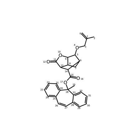 C=C(C)COC1C2CC3C1OC(=O)C3C2C(=O)OC1(C)c2ccccc2C=Cc2ccccc21